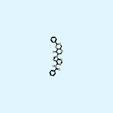 O=C(Nc1ncnc2c1ncn2C1COC2COC(c3ccccc3)OC2C1F)c1ccccc1